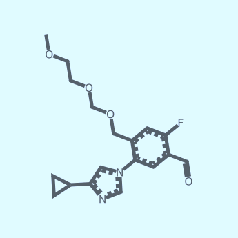 COCCOCOCc1cc(F)c(C=O)cc1-n1cnc(C2CC2)c1